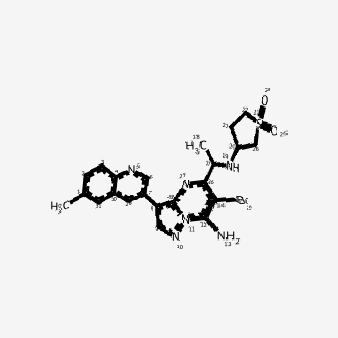 Cc1ccc2ncc(-c3cnn4c(N)c(Br)c(C(C)NC5CCS(=O)(=O)C5)nc34)cc2c1